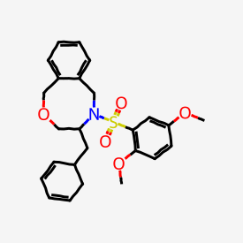 COc1ccc(OC)c(S(=O)(=O)N2Cc3ccccc3COCC2CC2C=CC=CC2)c1